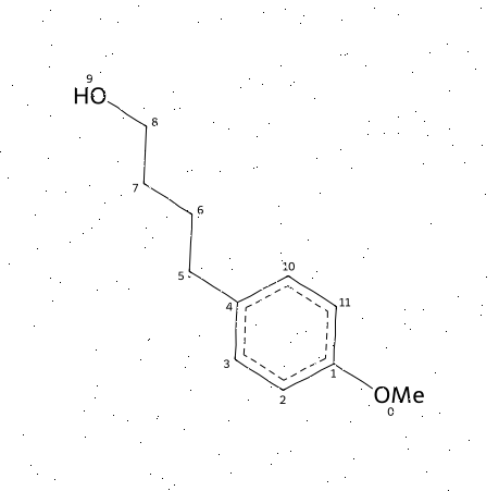 COc1ccc([CH]CCCO)cc1